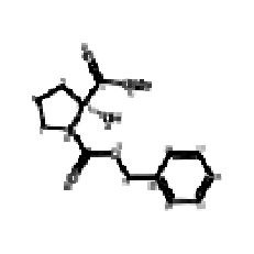 COC(=O)[C@]1(O)CCCN1C(=O)OCc1ccccc1